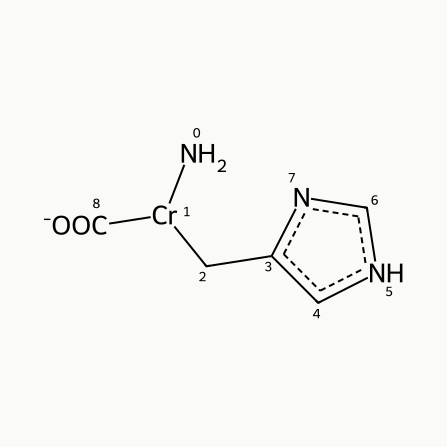 [NH2][Cr]([CH2]c1c[nH]cn1)[C](=O)[O-]